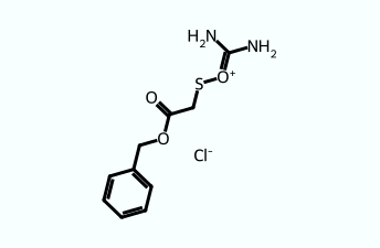 NC(N)=[O+]SCC(=O)OCc1ccccc1.[Cl-]